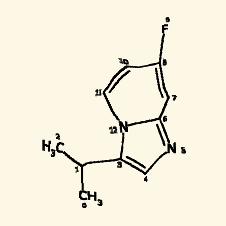 CC(C)c1cnc2cc(F)ccn12